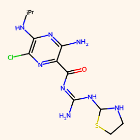 CC(C)Nc1nc(N)c(C(=O)N=C(N)NC2NCCS2)nc1Cl